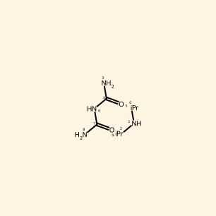 CC(C)NC(C)C.NC(=O)NC(N)=O